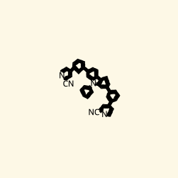 N#Cc1cc(-c2cccc(-c3ccc4c5ccc(-c6cccc(-c7ccnc(C#N)c7)c6)cc5n(-c5ccccc5)c4c3)c2)ccn1